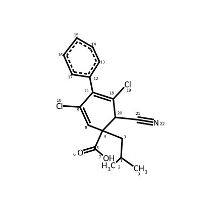 CC(C)CC1(C(=O)O)C=C(Cl)C(c2ccccc2)=C(Cl)C1C#N